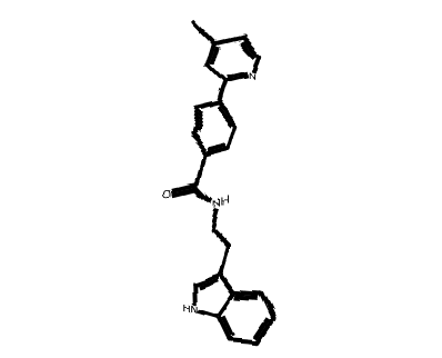 Cc1ccnc(-c2ccc(C(=O)NCCc3c[nH]c4ccccc34)cc2)c1